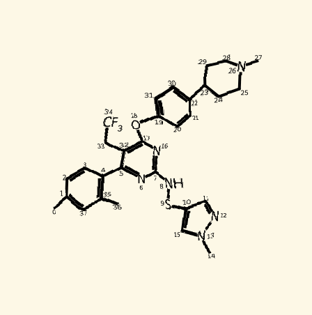 Cc1ccc(-c2nc(NSc3cnn(C)c3)nc(Oc3ccc(C4CCN(C)CC4)cc3)c2CC(F)(F)F)c(C)c1